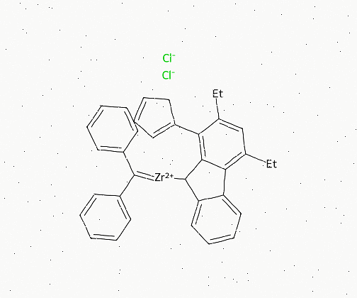 CCc1cc(CC)c2c(c1C1=CC=CC1)[CH]([Zr+2]=[C](c1ccccc1)c1ccccc1)c1ccccc1-2.[Cl-].[Cl-]